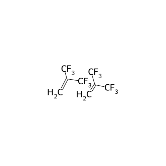 C=C(C(F)(F)F)C(F)(F)F.C=C(C(F)(F)F)C(F)(F)F